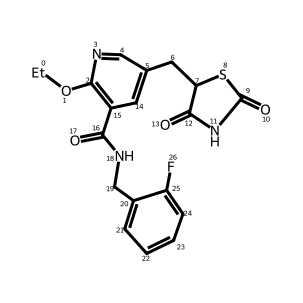 CCOc1ncc(CC2SC(=O)NC2=O)cc1C(=O)NCc1ccccc1F